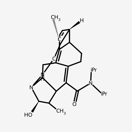 CC1C2C(C(=O)N(C(C)C)C(C)C)=C3CCC4C5=C3CC2N(NC[C@H](C)[C@@H]4C=CC5)[C@@H]1O